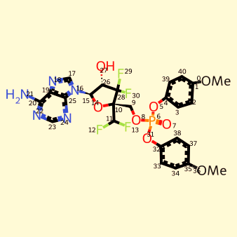 COc1ccc(OP(=O)(OC[C@@]2(C(F)F)O[C@@H](n3cnc4c(N)ncnc43)[C@H](O)C2(F)F)Oc2ccc(OC)cc2)cc1